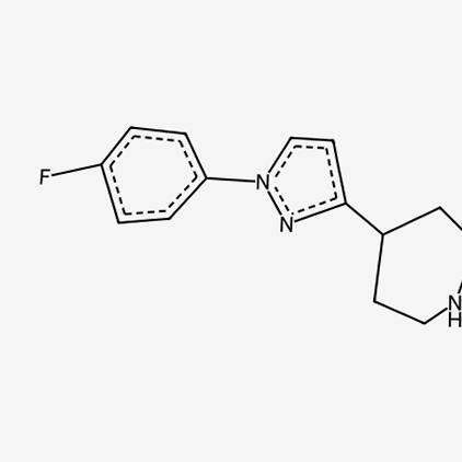 Fc1ccc(-n2ccc(C3CCNCC3)n2)cc1